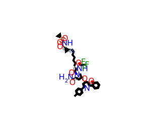 Cc1ccc(-c2cc(O[C@@H]3C[C@@H](C(N)=O)N(C(=O)[C@H](CCCCC/C=C\[C@@H]4C[C@@H]4C(=O)NS(=O)(=O)C4CC4)NC(=O)C(F)(F)F)C3)c3oc4ccccc4c3n2)cc1